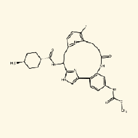 COC(=O)Nc1ccc2c(c1)NC(=O)CCc1nc(ccc1F)CC(NC(=O)[C@H]1CC[C@H](C)CC1)c1nc-2c[nH]1